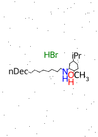 Br.CCCCCCCCCCCCCCCCCCNC1CC(C(C)C)CCC1(C)O